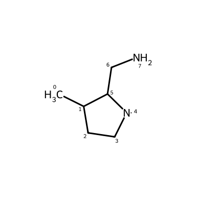 CC1CC[N]C1CN